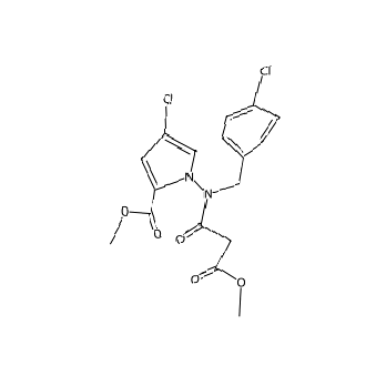 COC(=O)CC(=O)N(Cc1ccc(Cl)cc1)n1cc(Cl)cc1C(=O)OC